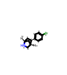 Brc1ccc([C@@H]2C[C@@H]3C[C@H]2CN3)cc1